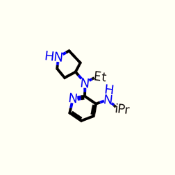 CCN(c1ncccc1NC(C)C)C1CCNCC1